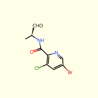 C[C@@H](C=O)NC(=O)c1ncc(Br)cc1Cl